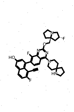 C#Cc1c(F)ccc2cc(O)cc(-c3ccc4c(N5CCC6(CCCN6)CC5)nc(OC[C@@]56CCCN5C[C@H](F)C6)nc4c3F)c12